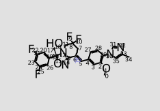 COc1cc(/C=C2\CC(F)(F)CN3C2=NO[C@]3(CO)c2cc(F)cc(F)c2)ccc1-n1cnc(C)c1